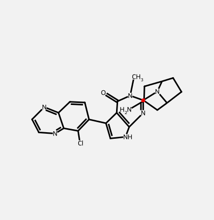 Cn1c(N2C3CCC2CC(N)C3)nc2[nH]cc(-c3ccc4nccnc4c3Cl)c2c1=O